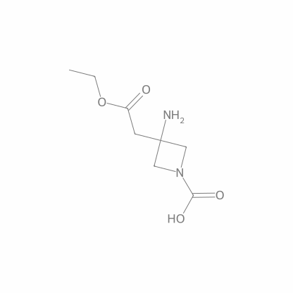 CCOC(=O)CC1(N)CN(C(=O)O)C1